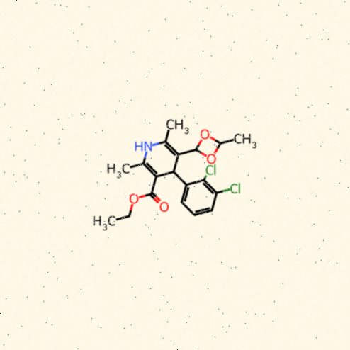 CCOC(=O)C1=C(C)NC(C)=C(C2OC(C)O2)C1c1cccc(Cl)c1Cl